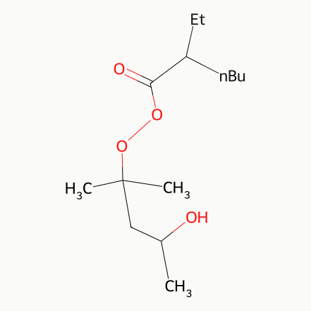 CCCCC(CC)C(=O)OOC(C)(C)CC(C)O